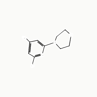 Clc1cc(Br)cc(N2CCOCC2)n1